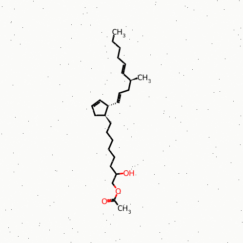 CCCCC=C[C@@H](C)CC=C[C@H]1C=CC[C@@H]1CCCCCCC(O)COC(C)=O